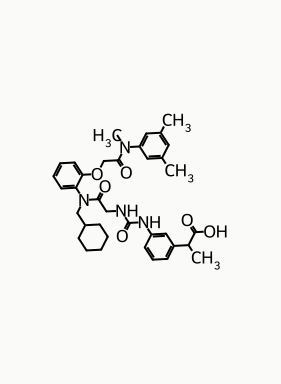 Cc1cc(C)cc(N(C)C(=O)COc2ccccc2N(CC2CCCCC2)C(=O)CNC(=O)Nc2cccc(C(C)C(=O)O)c2)c1